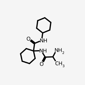 CC(N)C(=O)NC1(C(=O)NC2CCCCC2)CCCCC1